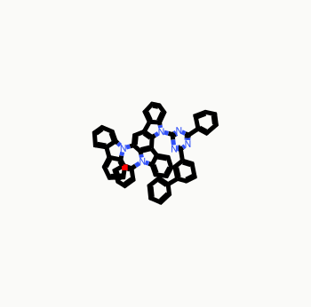 c1ccc(-c2cccc(-c3nc(-c4ccccc4)nc(-n4c5ccccc5c5cc(-n6c7ccccc7c7ccccc76)c6c(c7ccccc7n6-c6ccccc6)c54)n3)c2)cc1